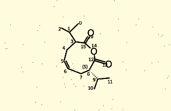 CC(C)C1CC=CC[C@@H](C(C)C)C(=O)OC1=O